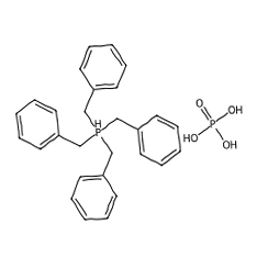 O=P(O)(O)O.c1ccc(C[PH](Cc2ccccc2)(Cc2ccccc2)Cc2ccccc2)cc1